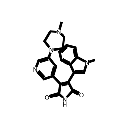 CN1CCN(c2cncc(C3=C(c4cn(C)c5ccccc45)C(=O)NC3=O)c2)CC1